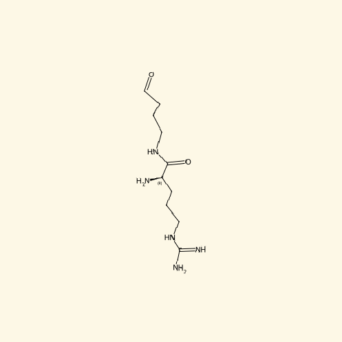 N=C(N)NCCC[C@@H](N)C(=O)NCCCC=O